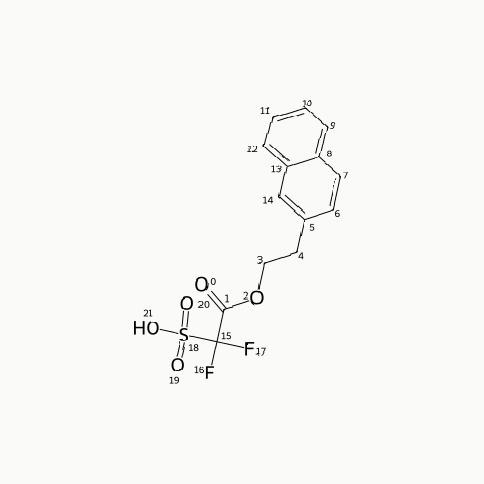 O=C(OCCc1ccc2ccccc2c1)C(F)(F)S(=O)(=O)O